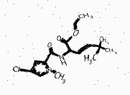 CCOC(=O)C(C=CC(C)(C)C)NC(=O)c1cc(Cl)cn1C